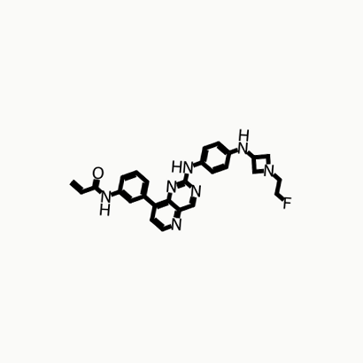 C=CC(=O)Nc1cccc(-c2ccnc3cnc(Nc4ccc(NC5CN(CCF)C5)cc4)nc23)c1